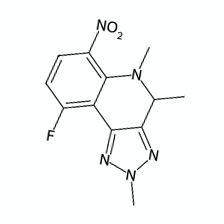 CC1c2nn(C)nc2-c2c(F)ccc([N+](=O)[O-])c2N1C